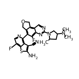 CC1CC(N(C)C)CN1c1ncc2c3c(c(-c4ncc(F)c5sc(N)c(C#N)c45)c(F)c2n1)COC3